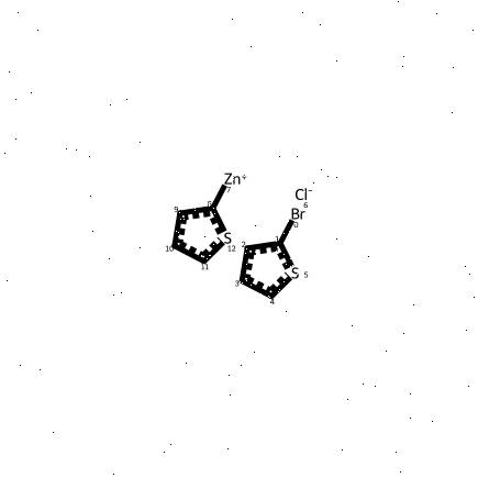 Brc1cccs1.[Cl-].[Zn+][c]1cccs1